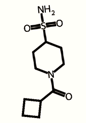 NS(=O)(=O)C1CCN(C(=O)C2CCC2)CC1